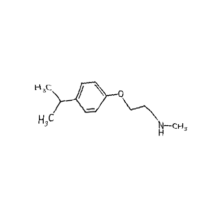 CNCCOc1ccc(C(C)C)cc1